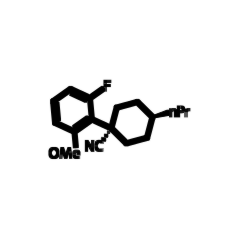 CCC[C@H]1CC[C@@](C#N)(c2c(F)cccc2OC)CC1